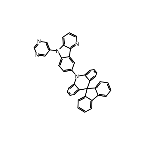 c1ccc2c(c1)-c1ccccc1C21c2ccccc2N(c2ccc3c(c2)c2ncccc2n3-c2cncnc2)c2ccccc21